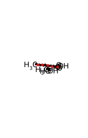 CCC(O)(O)O.CCCCCCCCCCCCCCCCOS(=O)(=O)O